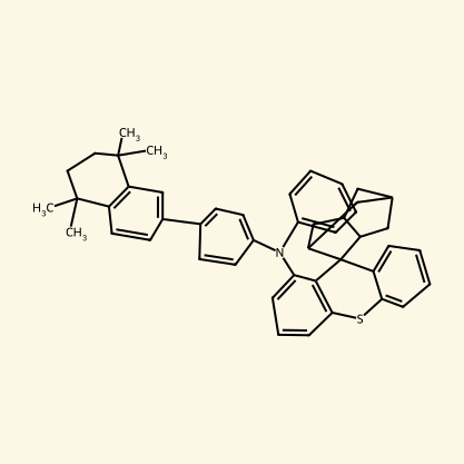 CC1(C)CCC(C)(C)c2cc(-c3ccc(N(c4ccccc4)c4cccc5c4C4(c6ccccc6S5)C5CC6CC(C5)C4C6)cc3)ccc21